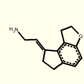 NCC=C1CCc2ccc3c(c21)CCO3